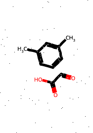 Cc1cccc(C)c1.O=CC(=O)O